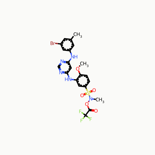 COc1ccc(S(=O)(=O)N(C)OC(=O)C(F)(F)F)cc1Nc1cc(Nc2cc(C)cc(Br)c2)ncn1